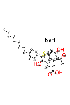 CCCCCCCCCc1ccc(C(Sc2ccc(C(C)=O)c(O)c2)C(O)CCCC(=O)O)cc1.[NaH]